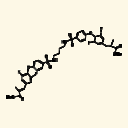 COC(=O)/C(C)=C/c1cc(F)c(Oc2ccc(S(=O)(=O)NCCCCNS(=O)(=O)c3ccc(Oc4c(F)cc(/C=C(\C)C(=O)OC)cc4F)cc3)cc2)c(F)c1